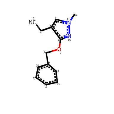 Cn1cc(CC#N)c(OCc2ccccc2)n1